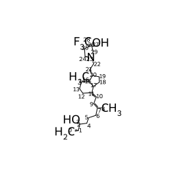 C=CC(O)CCC/C(C)=C/C=C1\CCCC2(C)C1CC[C@@H]2CCN1CCC(O)(C(F)(F)F)C1